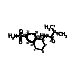 CC(C)C(=O)NC1CCCc2cc(S(N)(=O)=O)ccc21